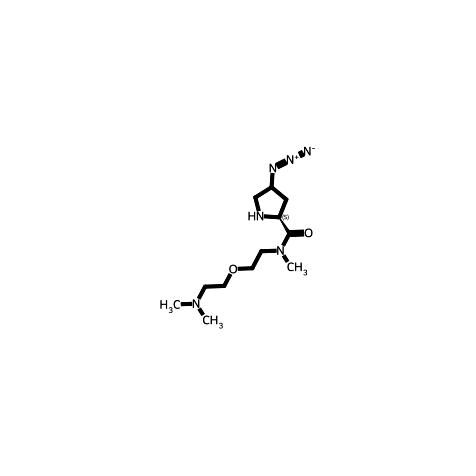 CN(C)CCOCCN(C)C(=O)[C@@H]1CC(N=[N+]=[N-])CN1